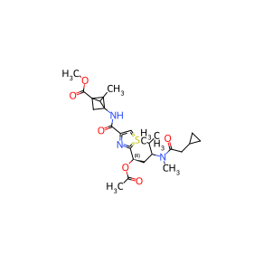 COC(=O)C12CC(NC(=O)c3csc([C@@H](CC(C(C)C)N(C)C(=O)CC4CC4)OC(C)=O)n3)(C1)C2C